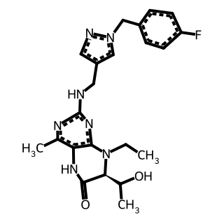 CCN1c2nc(NCc3cnn(Cc4ccc(F)cc4)c3)nc(C)c2NC(=O)[C@@H]1C(C)O